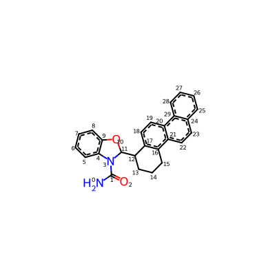 NC(=O)N1c2ccccc2OC1C1CCCc2c1ccc1c2ccc2ccccc21